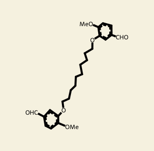 COc1ccc(C=O)cc1OCCCCCCCCCCOc1cc(C=O)ccc1OC